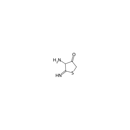 N=C1SCC(=O)C1N